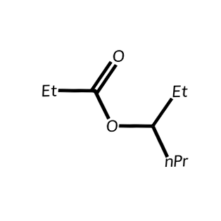 [CH2]CCC(CC)OC(=O)CC